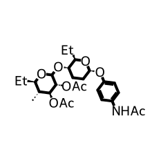 CC[C@H]1OC(O[C@H]2CC[C@@H](Oc3ccc(NC(C)=O)cc3)O[C@@H]2CC)[C@H](OC(C)=O)[C@@H](OC(C)=O)[C@@H]1C